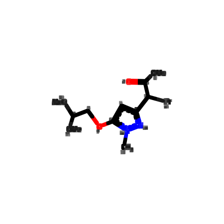 COC(=O)C(c1cc(OCC(OC)OC)n(C)n1)C(C)C